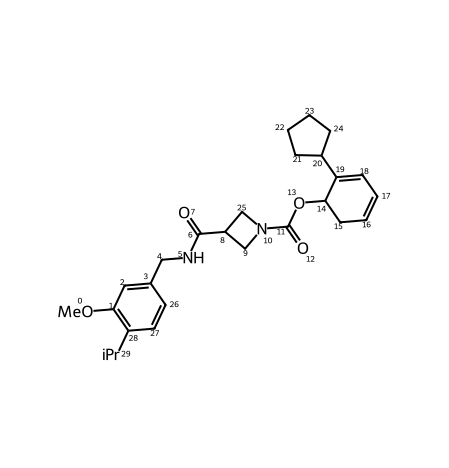 COc1cc(CNC(=O)C2CN(C(=O)OC3CC=CC=C3C3CCCC3)C2)ccc1C(C)C